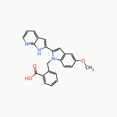 COc1ccc2c(c1)cc(-c1cc3cccnc3[nH]1)n2Cc1ccccc1C(=O)O